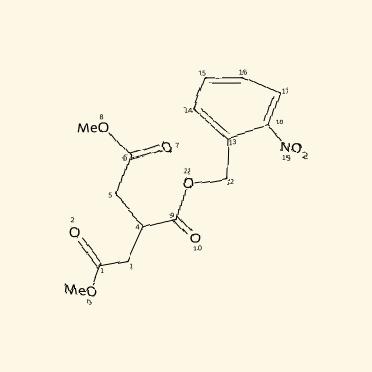 COC(=O)CC(CC(=O)OC)C(=O)OCc1ccccc1[N+](=O)[O-]